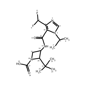 CC(C)n1cnc(C(F)F)c1C(=O)NC1CN(C(=O)O)C1C(C)(C)C